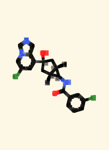 O=C(N[C@H]1[C@@H]2C[C@](O)(c3cc(Cl)cn4cncc34)C[C@@H]21)c1cccc(Cl)c1